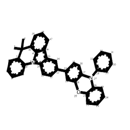 CC1(C)c2ccccc2-n2c3ccc(-c4ccc5c(c4)Oc4ccccc4N5c4ccccc4)cc3c3cccc1c32